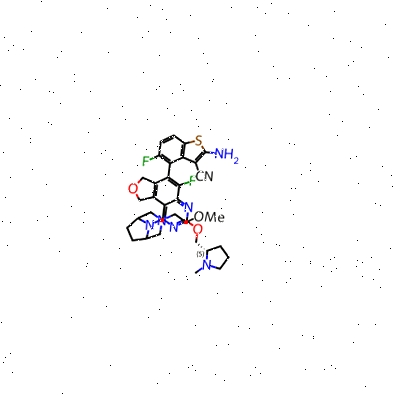 COCCN1CC2CCC(C1)N2c1nc(OC[C@@H]2CCCN2C)nc2c(F)c(-c3c(F)ccc4sc(N)c(C#N)c34)c3c(c12)COC3